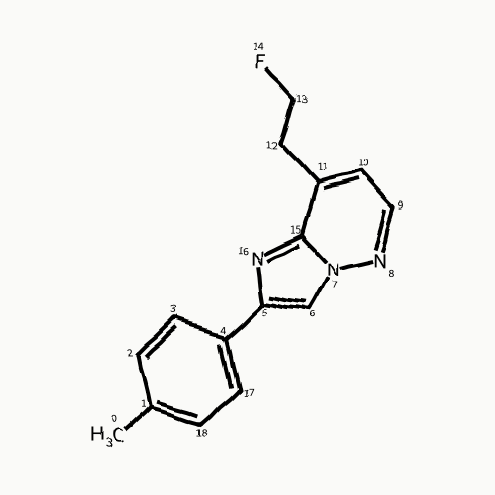 Cc1ccc(-c2cn3nccc(CCF)c3n2)cc1